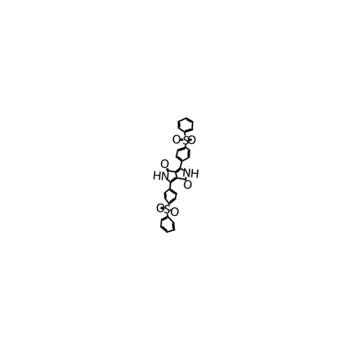 O=C1NC(c2ccc(S(=O)(=O)c3ccccc3)cc2)=C2C(=O)NC(c3ccc(S(=O)(=O)c4ccccc4)cc3)=C12